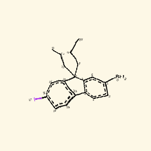 Bc1ccc2c(c1)C(CCC)(CCC)c1cc(I)ccc1-2